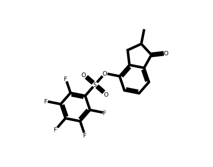 CC1Cc2c(OS(=O)(=O)c3c(F)c(F)c(F)c(F)c3F)cccc2C1=O